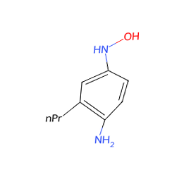 CCCc1cc(NO)ccc1N